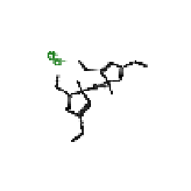 CCC1=C[C](C)([Zr+2][C]2(C)C=C(CC)C=C2CC)C(CC)=C1.[Cl-].[Cl-]